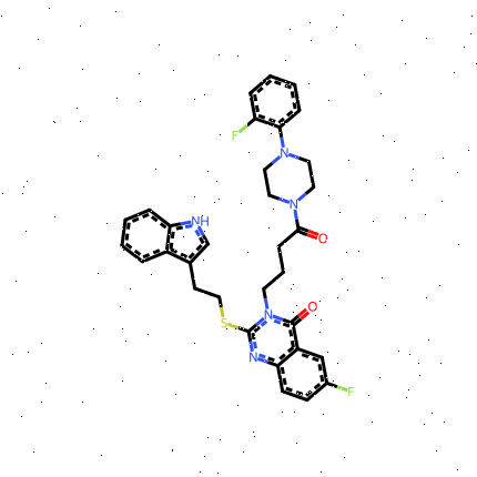 O=C(CCCn1c(SCCc2c[nH]c3ccccc23)nc2ccc(F)cc2c1=O)N1CCN(c2ccccc2F)CC1